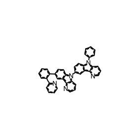 c1ccc(-n2c3ccc(-n4c5ccc(-c6ccccc6-c6ccccn6)cc5c5ncccc54)cc3c3ncccc32)cc1